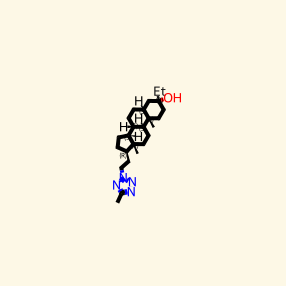 CC[C@@]1(O)CC[C@@]2(C)[C@@H](CC[C@@H]3[C@@H]2CC[C@]2(C)[C@@H](CCn4nnc(C)n4)CC[C@@H]32)C1